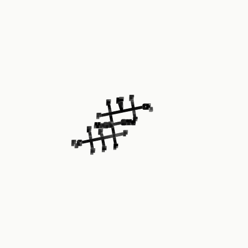 CO[Si](OC)(C(F)(F)C(F)(F)C(F)(F)C(F)(F)F)C(F)(F)C(F)(F)C(F)(F)C(F)(F)F